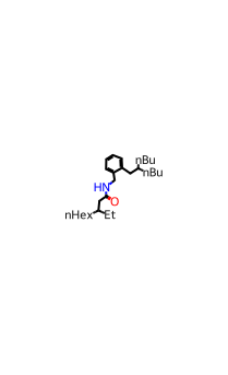 CCCCCCC(CC)CC(=O)NCc1ccccc1CC(CCCC)CCCC